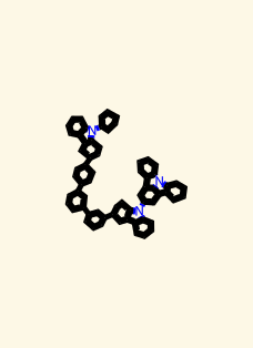 c1ccc(-n2c3ccccc3c3cc(-c4ccc(-c5cccc(-c6cccc(-c7ccc8c(c7)c7ccccc7n8-c7cc8c9ccccc9n9c%10ccccc%10c(c7)c89)c6)c5)cc4)ccc32)cc1